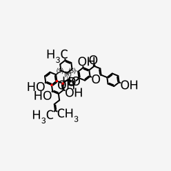 CC(C)=CCc1c(O)ccc(C(=O)[C@H]2[C@@H](c3c(O)cc4oc(-c5ccc(O)cc5)cc(=O)c4c3O)C=C(C)C[C@@H]2c2ccc(O)cc2O)c1O